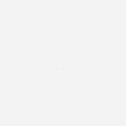 [LiH].[MgH2].[Ni].[O]=[Co]